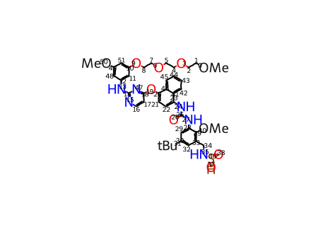 COCCOCCOCCOc1cc(Nc2nccc(Oc3ccc(NC(=O)Nc4cc(C(C)(C)C)cc(CN[SH](=O)=O)c4OC)c4ccccc34)n2)cc(OC)c1